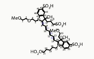 COCCOCCN1/C(=C/C=C/C=C/C=C/C2=[N+](CCCCCC(=O)O)c3ccc(S(=O)(=O)O)cc3C2(C)CCOC)C(C)(CCCS(=O)(=O)O)c2cc(S(=O)(=O)O)ccc21